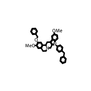 COc1ccc2c(c1)c1c(n2-c2ccc(Cc3ccccc3)cc2)CN2CCc3cc(OC)c(OCc4ccccc4)cc3C2C1